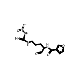 N=C(NCCCC(C=O)NC(=O)c1ccoc1)N[N+](=O)[O-]